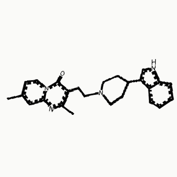 Cc1ccn2c(=O)c(CCN3CCC(c4c[nH]c5ccccc45)CC3)c(C)nc2c1